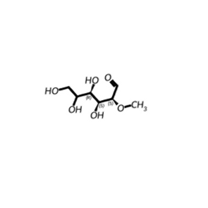 CO[C@H](C=O)[C@@H](O)[C@H](O)C(O)CO